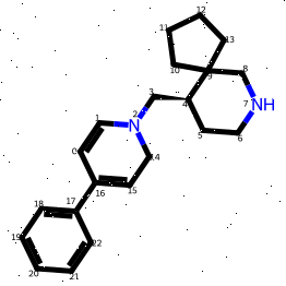 C1=CN(C[C@@H]2CCNCC23CCCC3)CC=C1c1ccccc1